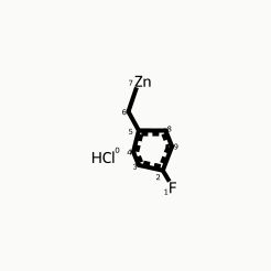 Cl.Fc1ccc([CH2][Zn])cc1